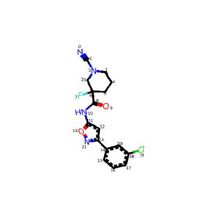 N#CN1CCCC(F)(C(=O)Nc2cc(-c3cccc(Cl)c3)no2)C1